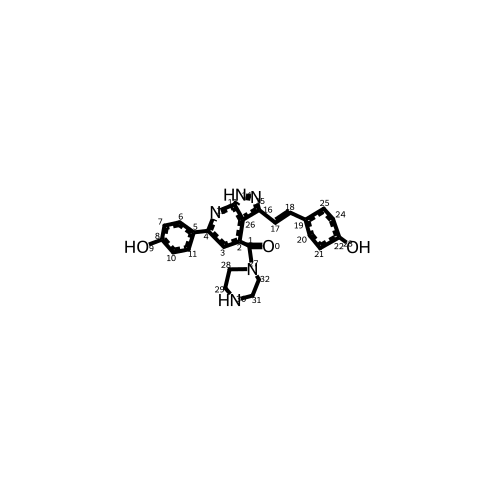 O=C(c1cc(-c2ccc(O)cc2)nc2[nH]nc(/C=C/c3ccc(O)cc3)c12)N1CCNCC1